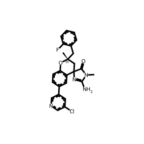 CN1C(=O)C2(C[C@@](C)(Cc3ccccc3F)Oc3ccc(-c4cncc(Cl)c4)cc32)N=C1N